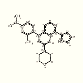 Cc1cc([S+](C)[O-])ncc1-c1cc(N2CCOCC2)nc2c(-c3ccn[nH]3)nccc12